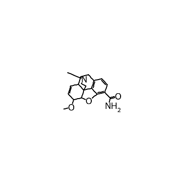 COC1C=CC2C3Cc4ccc(C(N)=O)c5c4C2(CCN3C)C1O5